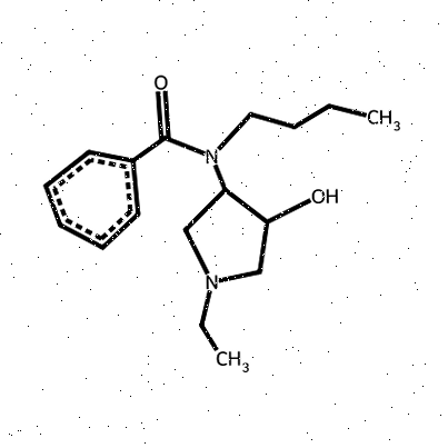 CCCCN(C(=O)c1ccccc1)C1CN(CC)CC1O